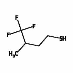 CC(CCS)C(F)(F)F